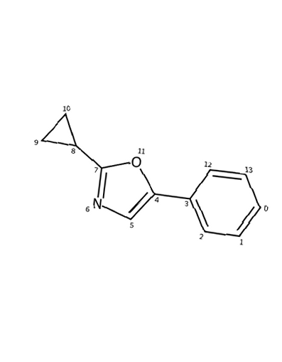 c1ccc(-c2cnc(C3CC3)o2)cc1